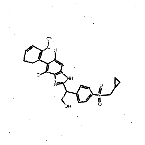 O=S(=O)(CC1CC1)c1ccc(C(CO)c2nc3c(Cl)c(C4=C(OC(F)(F)F)C=CCC4)c(Cl)cc3[nH]2)cc1